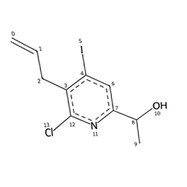 C=CCc1c(I)cc(C(C)O)nc1Cl